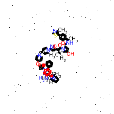 Cc1ncsc1-c1ccc([C@H](C)NC(=O)[C@@H]2C[C@@H](O)CN2C(=O)[C@@H](c2cc(N3CCC(CN4CCC(OC5CC(N6CCC(C(C)(C)N7C8CC[C@@H]7CN(c7cc(-c9ccccc9O)nnc7N)C8)CC6)C5)CC4)CC3)no2)C(C)C)cc1